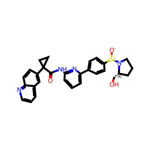 O=C(Nc1cccc(-c2ccc([S+]([O-])N3CCC[C@@H]3CO)cc2)n1)C1(c2ccc3ncccc3c2)CC1